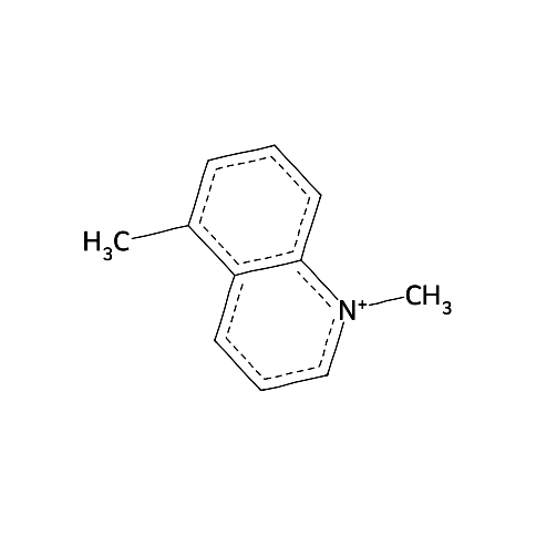 Cc1cccc2c1ccc[n+]2C